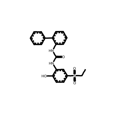 CCS(=O)(=O)c1ccc(O)c(NC(=O)Nc2ccccc2-c2ccccc2)c1